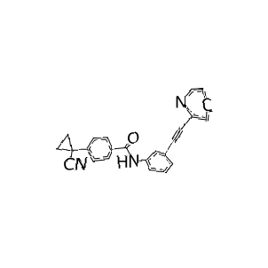 N#CC1(c2ccc(C(=O)Nc3cccc(C#Cc4ccccn4)c3)cc2)CC1